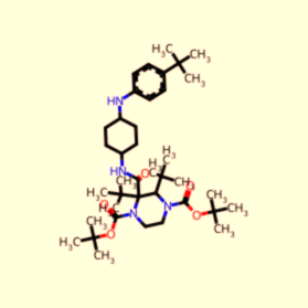 CC(C)(C)OC(=O)N1CCN(C(=O)OC(C)(C)C)C(C(=O)NC2CCC(Nc3ccc(C(C)(C)C)cc3)CC2)(C(C)(C)C)C1C(C)(C)C